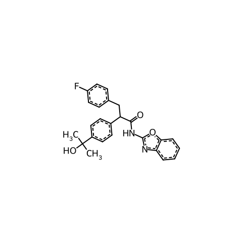 CC(C)(O)c1ccc(C(Cc2ccc(F)cc2)C(=O)Nc2nc3ccccc3o2)cc1